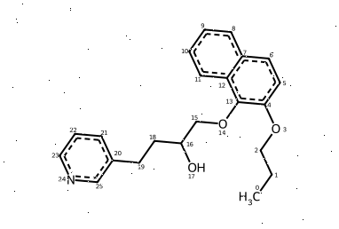 CCCOc1ccc2ccccc2c1OCC(O)CCc1cccnc1